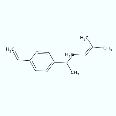 C=Cc1ccc(C(C)[SiH2]C=C(C)C)cc1